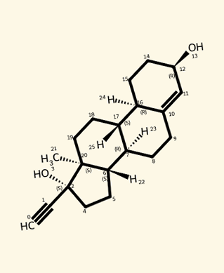 C#C[C@]1(O)CC[C@H]2[C@@H]3CCC4=C[C@H](O)CC[C@@H]4[C@H]3CC[C@@]21C